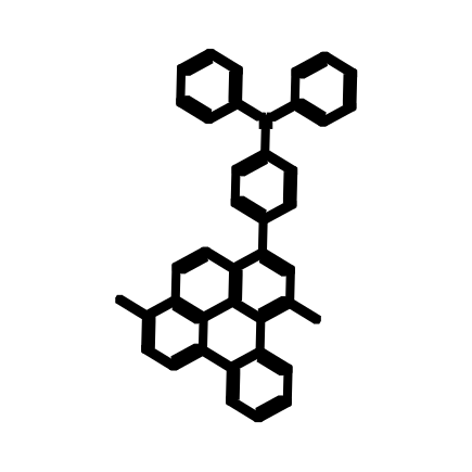 Cc1ccc2c3ccccc3c3c(C)cc(-c4ccc(N(c5ccccc5)c5ccccc5)cc4)c4ccc1c2c43